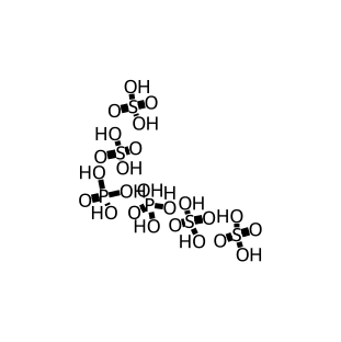 O=P(O)(O)O.O=P(O)(O)O.O=S(=O)(O)O.O=S(=O)(O)O.O=S(=O)(O)O.O=S(=O)(O)O